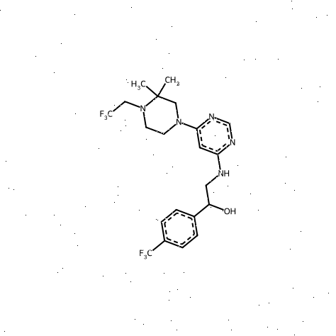 CC1(C)CN(c2cc(NCC(O)c3ccc(C(F)(F)F)cc3)ncn2)CCN1CC(F)(F)F